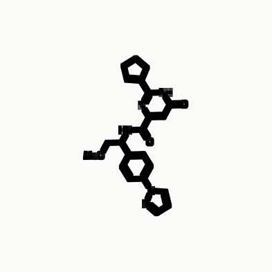 COCC(NC(=O)c1cc(=O)[nH]c(C2=CCCC2)n1)c1ccc(-n2cccn2)cc1